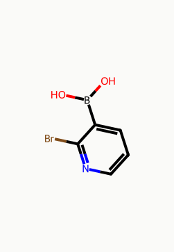 OB(O)c1cccnc1Br